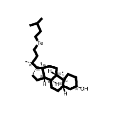 CC(C)CC[Te]CC[C@@H](C)[C@H]1CC[C@H]2[C@@H]3CC[C@H]4C[C@@H](O)CC[C@]4(C)[C@H]3CC[C@]12C